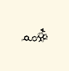 Cc1oc2ncnc(NC3(C)CC3)c2c1C(=O)N1CCN(Cc2cccc(F)c2)CC1